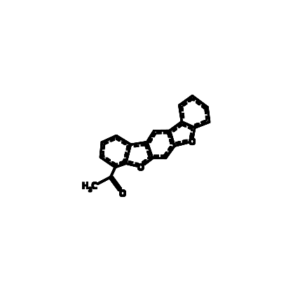 CC(=O)c1cccc2c1oc1cc3oc4ccccc4c3cc12